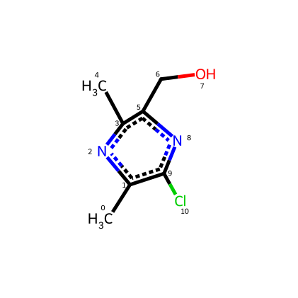 Cc1nc(C)c(CO)nc1Cl